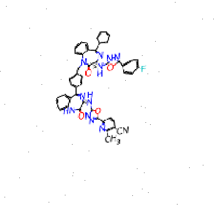 Cc1nc(-c2nnc(N[C@H]3N=C(c4ccc(CN5C(=O)[C@@H](Nc6nnc(-c7ccc(F)cc7)o6)N=C(c6ccccc6)c6ccccc65)cc4)c4ccccc4NC3=O)o2)ccc1C#N